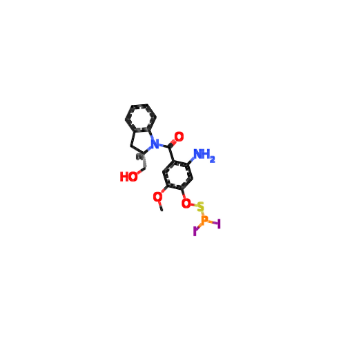 COc1cc(C(=O)N2c3ccccc3C[C@H]2CO)c(N)cc1OSP(I)I